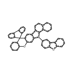 c1ccc2c(c1)Oc1cc3c(cc1C21c2ccccc2-c2ccccc21)c1ccc2ccccc2c1n3-c1ccc2oc3ccccc3c2c1